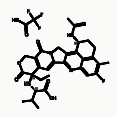 CC[C@@]1(N[C@H](C(=O)O)C(C)C)C(=O)OCc2c1cc1n(c2=O)Cc2c-1nc1cc(F)c(C)c3c1c2[C@@H](NC(C)=O)CC3.O=C(O)C(F)(F)F